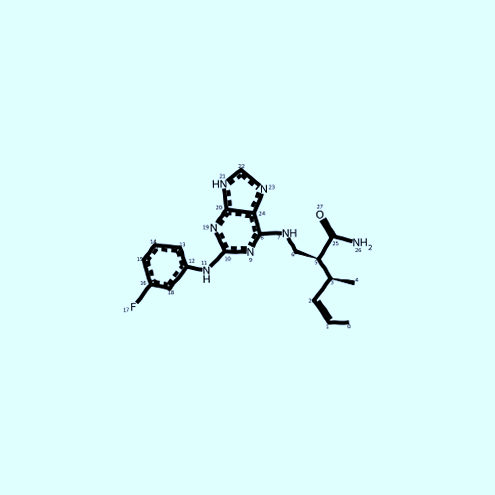 C/C=C\[C@H](C)[C@@H](CNc1nc(Nc2cccc(F)c2)nc2[nH]cnc12)C(N)=O